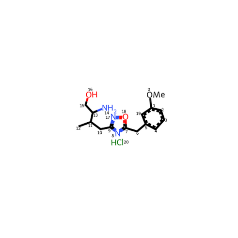 COc1cccc(Cc2nc(CC(C)C(N)CO)no2)c1.Cl